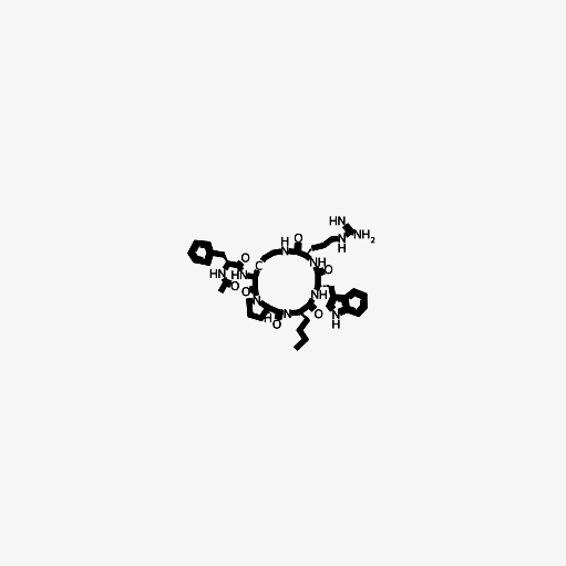 CCCC[C@H]1NC(=O)[C@@H]2CCCN2C(=O)C(NC(=O)[C@H](Cc2ccccc2)NC(C)=O)CCCNC(=O)[C@H](CCCNC(=N)N)NC(=O)[C@H](Cc2c[nH]c3ccccc23)NC1=O